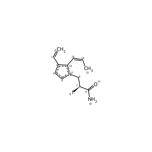 C=Cc1ccn(C[C@H](I)C(N)=O)c1/C=C\C